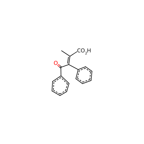 CC(C(=O)O)=C(C(=O)c1ccccc1)c1ccccc1